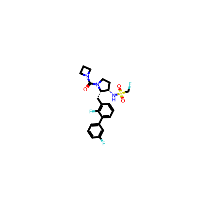 O=C(N1CCC1)N1CC[C@H](NS(=O)(=O)CF)[C@@H]1Cc1cccc(-c2cccc(F)c2)c1F